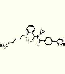 BC(c1ccccc1OCCCCCC(=O)O)N(C(=O)c1ccc(-c2cn[nH]c2)cc1)C1CC1